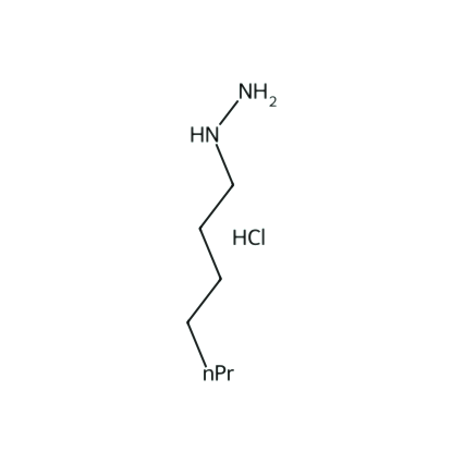 CCCCCCCNN.Cl